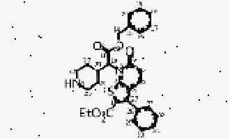 CCOC(=O)c1sc2c(ccc(=O)n2C(C(=O)OCc2ccccc2)C2CCNCC2)c1-c1ccccc1